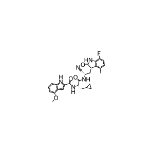 COc1cccc2[nH]c(C(=O)N[C@@H](CC3CC3)C(=O)N[C@H](C#N)C[C@H]3C(=O)Nc4c(F)ccc(C)c43)cc12